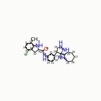 Cc1ccc(F)c2c1NC(C(=O)Nc1cccc(C3CNNC3(N)C3CCCCCC3)c1)C2